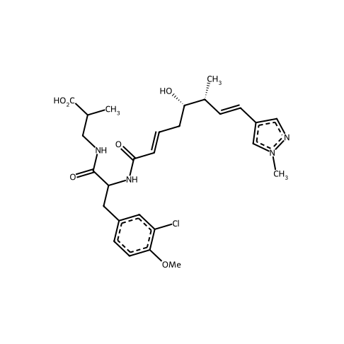 COc1ccc(CC(NC(=O)/C=C/C[C@H](O)[C@H](C)/C=C/c2cnn(C)c2)C(=O)NCC(C)C(=O)O)cc1Cl